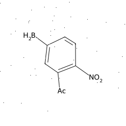 Bc1ccc([N+](=O)[O-])c(C(C)=O)c1